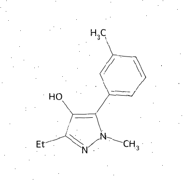 CCc1nn(C)c(-c2cccc(C)c2)c1O